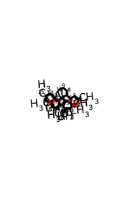 Cc1cc(C)cc(C2CC[CH2][Al]([c]3cc(C)cc(C)c3)[C]2(c2cc(C)cc(C)c2)c2cc(C)cc(C)c2)c1.[LiH]